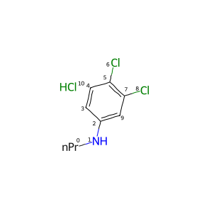 CCCNc1ccc(Cl)c(Cl)c1.Cl